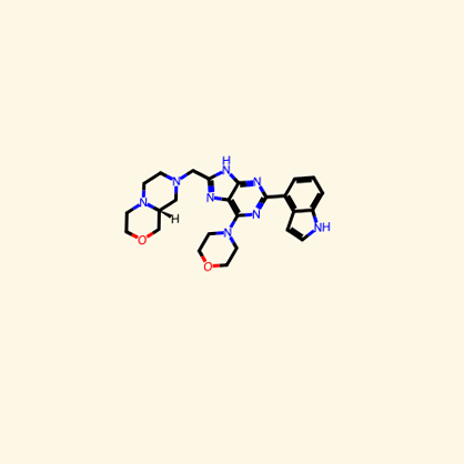 c1cc(-c2nc(N3CCOCC3)c3nc(CN4CCN5CCOC[C@H]5C4)[nH]c3n2)c2cc[nH]c2c1